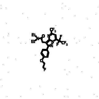 CCN(CC)C(=O)Cc1c(-c2ccc(OCCF)cc2)nn2c(C(F)(F)C(F)(F)F)cc(C(F)(F)F)nc12